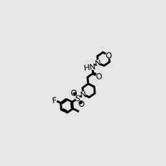 Cc1ccc(F)cc1S(=O)(=O)N1CCCC(CC(=O)NN2CCOCC2)C1